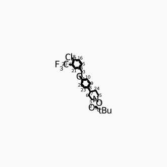 CC(C)(C)C(=O)ON1CCC(c2ccc(OCc3ccc(Cl)c(C(F)(F)F)c3)cc2)CC1